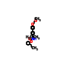 CCCC1CCCCC1OC(=O)NC(C)(C)c1ccc(-c2ccc(OCCOC)cc2)cc1